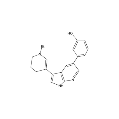 CCN1C=C(c2c[nH]c3ncc(-c4cccc(O)c4)cc23)CCC1